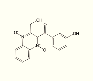 O=C(c1cccc(O)c1)c1c(CO)[n+]([O-])c2ccccc2[n+]1[O-]